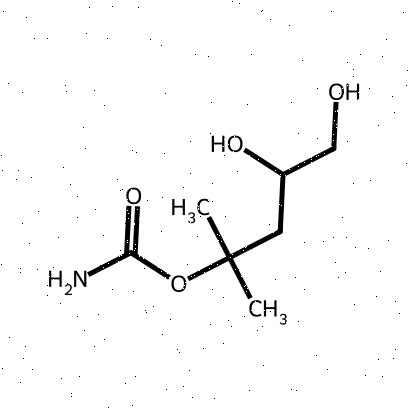 CC(C)(CC(O)CO)OC(N)=O